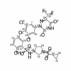 O=c1[nH]c(=O)n(-c2cc(Cl)c(Oc3ccc(O)c(S(=O)(=O)N[C@@H]4CCN(S(=O)(=O)C5CC5)C4)c3)c(Cl)c2)nc1C(F)F